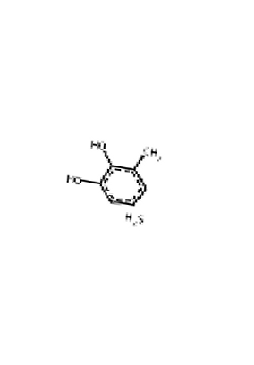 Cc1cccc(O)c1O.S